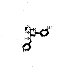 Brc1cccc(-c2cc(NCc3ccncc3)n3ncnc3n2)c1